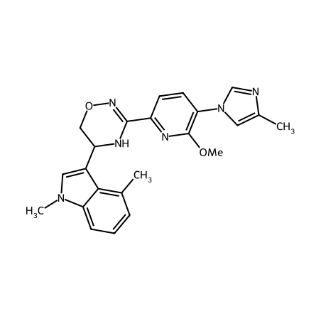 COc1nc(C2=NOCC(c3cn(C)c4cccc(C)c34)N2)ccc1-n1cnc(C)c1